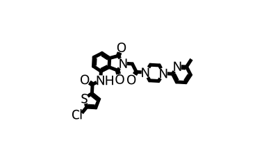 Cc1cccc(N2CCN(C(=O)CN3C(=O)c4cccc(NC(=O)c5ccc(Cl)s5)c4C3=O)CC2)n1